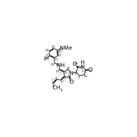 C\C=C/C=C1/C(=O)N(C2CCC(=O)NC2=O)C/C1=C\NCc1cc(NC)ccc1F